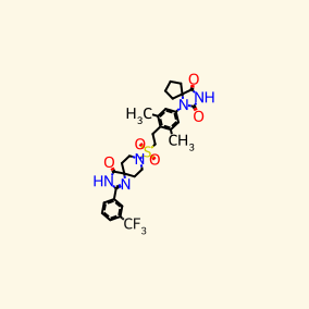 Cc1cc(N2C(=O)NC(=O)C23CCCC3)cc(C)c1CCS(=O)(=O)N1CCC2(CC1)N=C(c1cccc(C(F)(F)F)c1)NC2=O